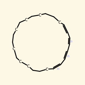 [C]1=C/C=C\C=C/C=CCCCCCCCCCCCCCCCCC\1